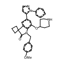 COc1ccc(CN2C(=O)C3(CCC3)c3cc(-c4ccnn4-c4ccccc4)cc(OC4CCNCC4)c32)cc1